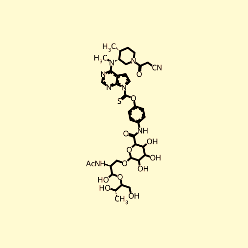 CC(=O)N[C@@H](COC1OC(C(=O)Nc2ccc(OC(=S)n3ccc4c(N(C)[C@H]5CN(C(=O)CC#N)CC[C@H]5C)ncnc43)cc2)C(O)C(O)C1O)C(O)OC(CO)[C@H](C)O